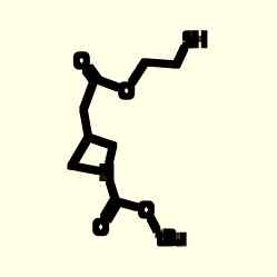 CC(C)(C)OC(=O)N1CC(CC(=O)OCCS)C1